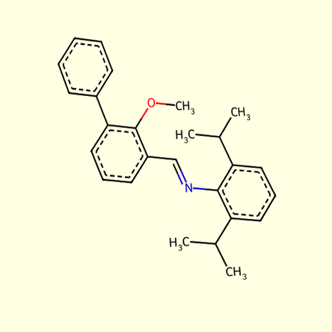 COc1c(C=Nc2c(C(C)C)cccc2C(C)C)cccc1-c1ccccc1